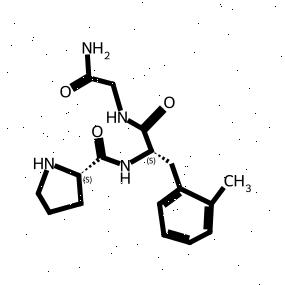 Cc1ccccc1C[C@H](NC(=O)[C@@H]1CCCN1)C(=O)NCC(N)=O